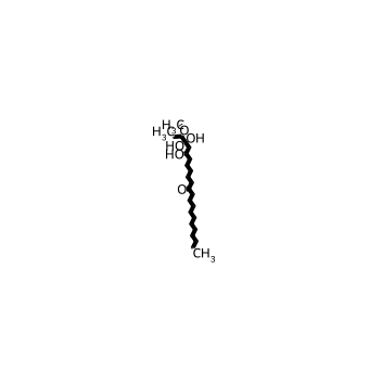 CCCCCCCCCCCC(=O)CCCCCC(O)CC(O)(O)C(CC)OC